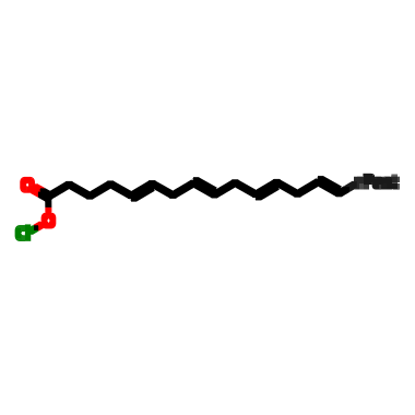 CCCCCC=CCC=CCC=CCC=CCCCC(=O)OCl